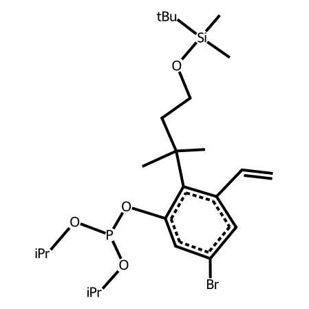 C=Cc1cc(Br)cc(OP(OC(C)C)OC(C)C)c1C(C)(C)CCO[Si](C)(C)C(C)(C)C